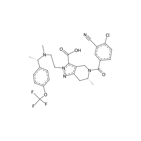 C[C@@H]1Cc2nn(CCN(C)[C@@H](C)c3ccc(OC(F)(F)F)cc3)c(C(=O)O)c2CN1C(=O)c1ccc(Cl)c(C#N)c1